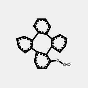 O=[C]Oc1cccc2c1-c1ccccc1-c1ccccc1-c1ccccc1-2